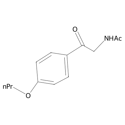 CCCOc1ccc(C(=O)CNC(C)=O)cc1